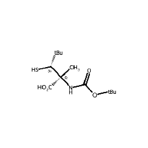 CC(C)(C)OC(=O)N[C@@](C)(C(=O)O)[C@H](S)C(C)(C)C